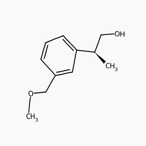 COCc1cccc([C@H](C)CO)c1